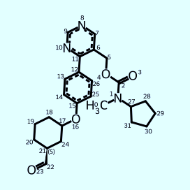 CN(C(=O)OCc1cncnc1-c1ccc(OC2CCC[C@H](C=O)C2)cc1)C1CCCC1